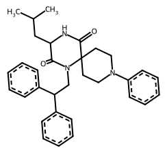 CC(C)CC1NC(=O)C2(CCN(c3ccccc3)CC2)N(CC(c2ccccc2)c2ccccc2)C1=O